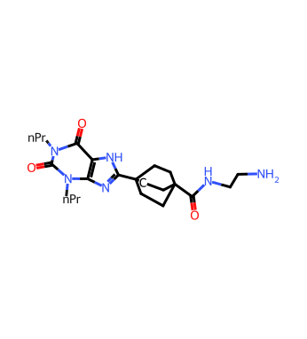 CCCn1c(=O)c2[nH]c(C34CCC(C(=O)NCCN)(CC3)CC4)nc2n(CCC)c1=O